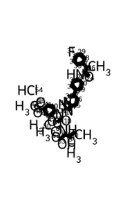 CC[C@H](C)[C@@H](NC(C)OC(=O)N(c1nc2ccc(-c3ccc(NC(=O)[C@H](C)c4ccc(F)cc4)cc3)cn2n1)c1ccc(S(C)(=O)=O)cc1OC)C(=O)O.Cl